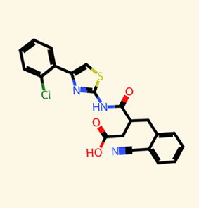 N#Cc1ccccc1CC(CC(=O)O)C(=O)Nc1nc(-c2ccccc2Cl)cs1